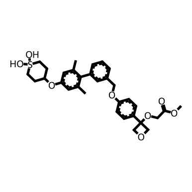 COC(=O)COC1(c2ccc(OCc3cccc(-c4c(C)cc(OC5CCS(O)(O)CC5)cc4C)c3)cc2)COC1